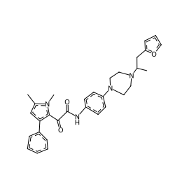 Cc1cc(-c2ccccc2)c(C(=O)C(=O)Nc2ccc(N3CCN(C(C)Cc4ccco4)CC3)cc2)n1C